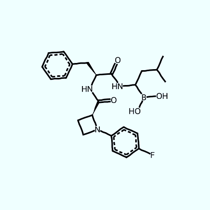 CC(C)CC(NC(=O)[C@H](Cc1ccccc1)NC(=O)[C@@H]1CCN1c1ccc(F)cc1)B(O)O